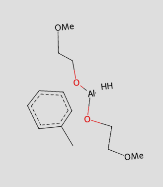 COCC[O][Al][O]CCOC.Cc1ccccc1.[HH]